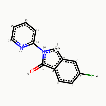 O=c1c2ccc(F)cc2[se]n1-c1ccccn1